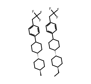 CC[C@H]1CC[C@H](C2CCC(c3ccc(CC(F)(F)F)cc3)CC2)CC1.C[C@H]1CC[C@H](C2CCC(c3ccc(CC(F)(F)F)cc3)CC2)CC1